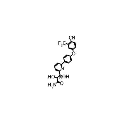 N#Cc1ccc(Oc2ccc(-c3cccc([C@@H](O)C(O)C(N)=O)n3)cc2)cc1C(F)(F)F